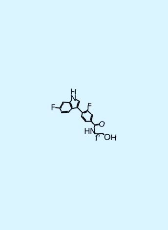 C[C@H](CO)NC(=O)c1ccc(-c2c[nH]c3cc(F)ccc23)c(F)c1